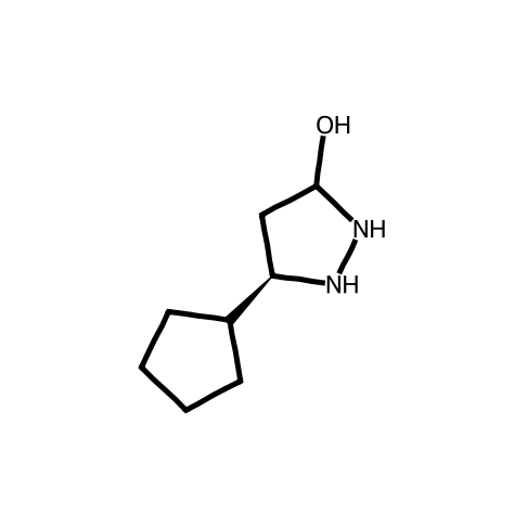 OC1C[C@H](C2CCCC2)NN1